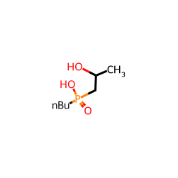 CCCCP(=O)(O)CC(C)O